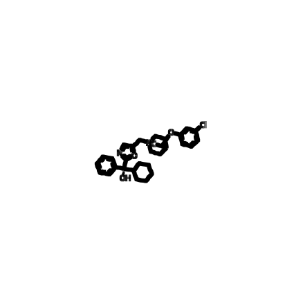 O[C@](c1ccccc1)(c1ncc(C[N+]23CCC(CC2)C(Oc2cccc(Cl)c2)C3)o1)C1CCCCC1